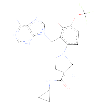 Nc1ncnc2c1ncn2Cc1c(N2CC[C@](N)(C(=O)NC3CC3)C2)ccc(OC(F)(F)F)c1Br